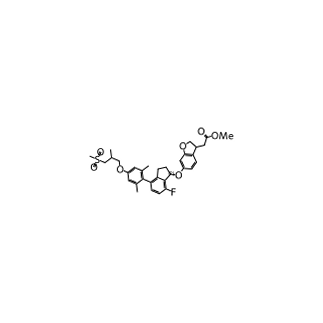 COC(=O)CC1COc2cc(O[C@@H]3CCc4c(-c5c(C)cc(OCC(C)CS(C)(=O)=O)cc5C)ccc(F)c43)ccc21